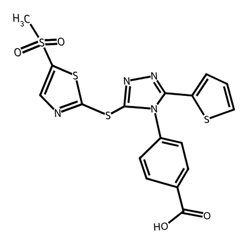 CS(=O)(=O)c1cnc(Sc2nnc(-c3cccs3)n2-c2ccc(C(=O)O)cc2)s1